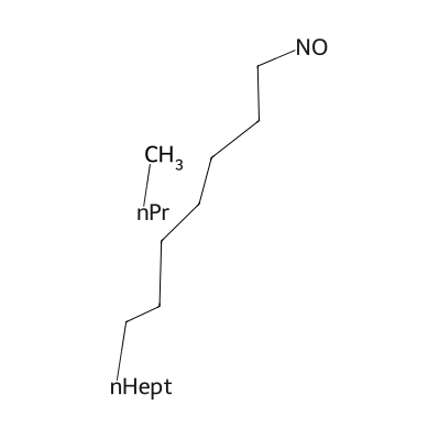 CCCC.CCCCCCCCCCCCCCN=O